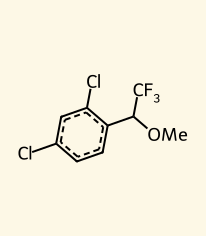 COC(c1ccc(Cl)cc1Cl)C(F)(F)F